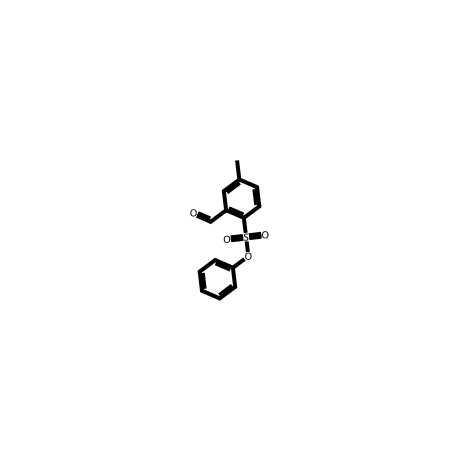 Cc1ccc(S(=O)(=O)Oc2ccccc2)c(C=O)c1